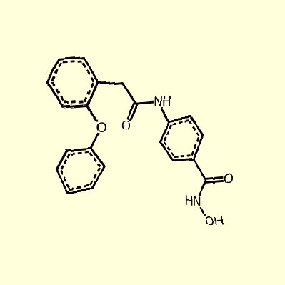 O=C(Cc1ccccc1Oc1ccccc1)Nc1ccc(C(=O)NO)cc1